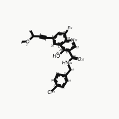 COC(C)C#Cc1cc(F)c2ncc(C(=O)NCc3ccc(Cl)cc3)c(O)c2c1